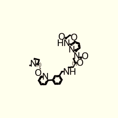 CN1CC[C@@H]1COc1cccc(-c2cccc(CNCC[C@H]3CN(c4ccc5c(n4)NC(=O)CO5)C(=O)O3)c2)n1